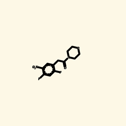 O=C(Cc1cc([N+](=O)[O-])c(F)cc1F)N1CCOCC1